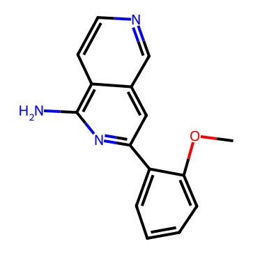 COc1ccccc1-c1cc2cnccc2c(N)n1